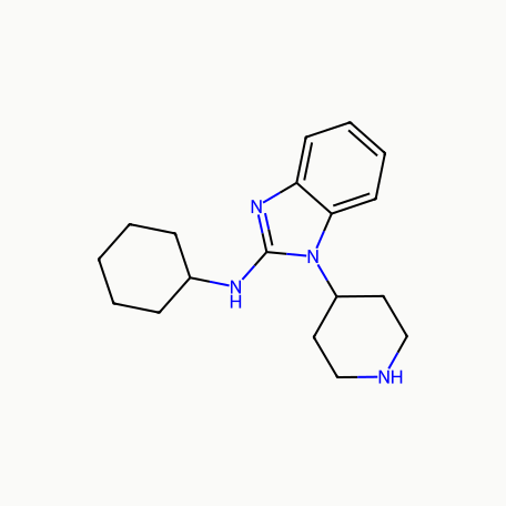 c1ccc2c(c1)nc(NC1CCCCC1)n2C1CCNCC1